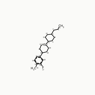 CCCC1CCC([SiH]2CCC(c3ccc(C)c(F)c3)CC2)CC1